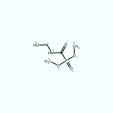 COP(=O)(OC)C(=O)NCO